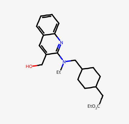 CCOC(=O)CC1CCC(CN(CC)c2nc3ccccc3cc2CO)CC1